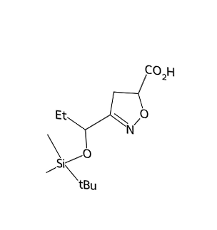 CCC(O[Si](C)(C)C(C)(C)C)C1=NOC(C(=O)O)C1